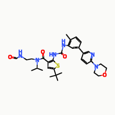 Cc1ccc(-c2ccc(N3CCOCC3)nc2)cc1NC(=O)Nc1sc(C(C)(C)C)cc1C(=O)N(CCNC=O)C(C)C